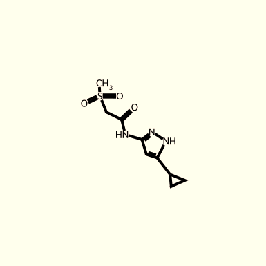 CS(=O)(=O)CC(=O)Nc1cc(C2CC2)[nH]n1